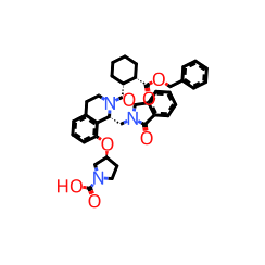 O=C(OCc1ccccc1)[C@H]1CCCC[C@H]1C(=O)N1CCc2cccc(O[C@H]3CCN(C(=O)O)C3)c2[C@H]1CN1Cc2ccccc2C1=O